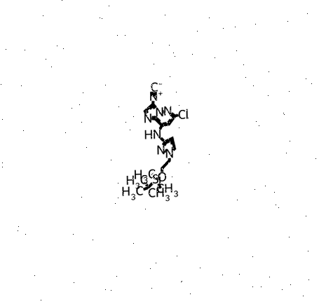 [C-]#[N+]c1cnc2c(Nc3ccn(CCO[Si](C)(C)C(C)(C)C)n3)cc(Cl)nn12